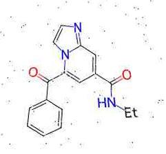 CCNC(=O)c1cc(C(=O)c2ccccc2)n2ccnc2c1